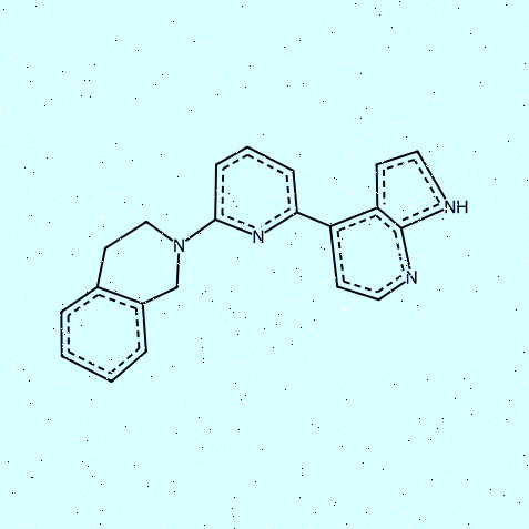 c1cc(-c2ccnc3[nH]ccc23)nc(N2CCc3ccccc3C2)c1